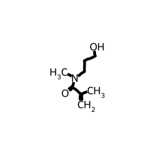 C=C(C)C(=O)N(C)CCCO